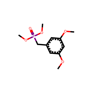 COc1cc(CP(=O)(OC)OC)cc(OC)c1